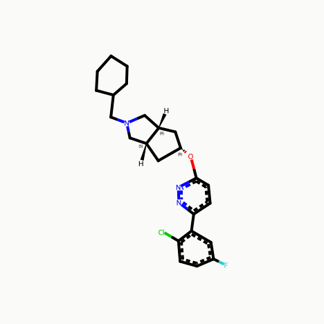 Fc1ccc(Cl)c(-c2ccc(O[C@@H]3C[C@@H]4CN(CC5CCCCC5)C[C@@H]4C3)nn2)c1